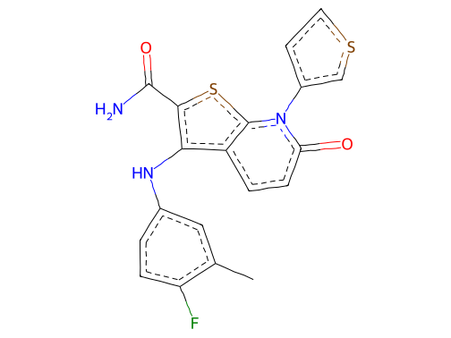 Cc1cc(Nc2c(C(N)=O)sc3c2ccc(=O)n3-c2ccsc2)ccc1F